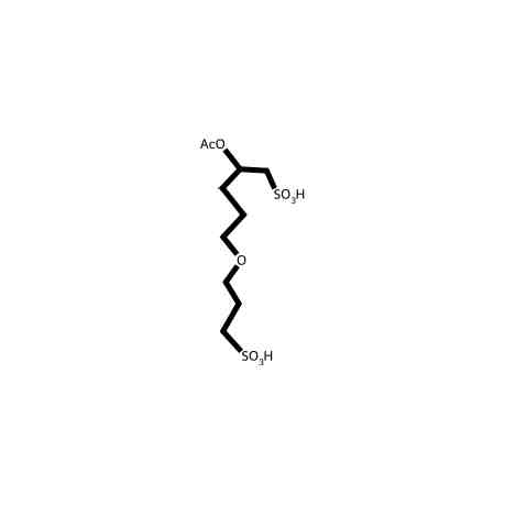 CC(=O)OC([CH]CCOCCCS(=O)(=O)O)CS(=O)(=O)O